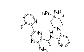 C=C(Nc1ncccc1N1CCC(N)(CCC)CC1)c1nc(-c2ncccc2F)cnc1N